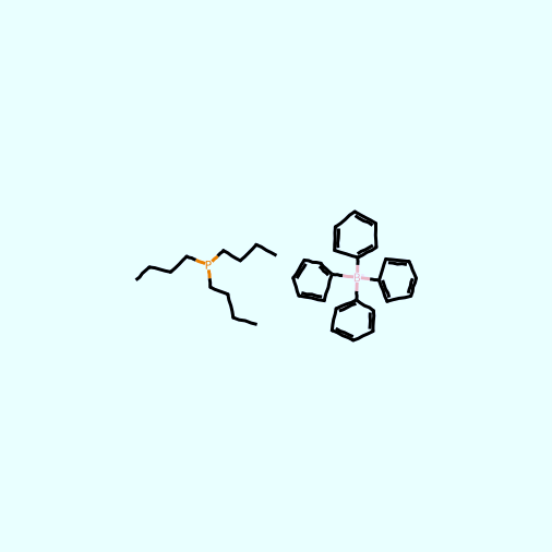 CCCCP(CCCC)CCCC.c1ccc([B-](c2ccccc2)(c2ccccc2)c2ccccc2)cc1